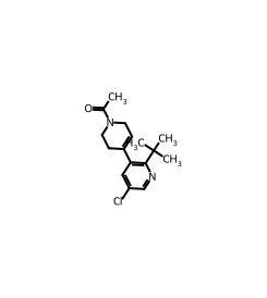 CC(=O)N1CC=C(c2cc(Cl)cnc2C(C)(C)C)CC1